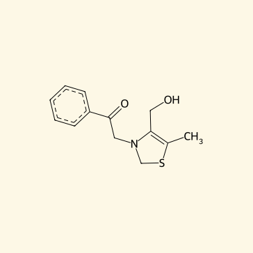 CC1=C(CO)N(CC(=O)c2ccccc2)CS1